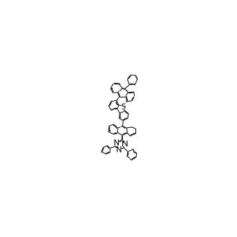 C1=Cc2c(c(-c3ccc4sc5c(-c6c7ccccc7c(-c7ccccc7)c7ccccc67)cccc5c4c3)c3ccccc3c2-c2nc(-c3ccccc3)nc(-c3ccccc3)n2)CC1